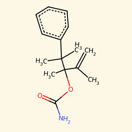 C=C(C)C(C)(OC(N)=O)C(C)(C)c1ccccc1